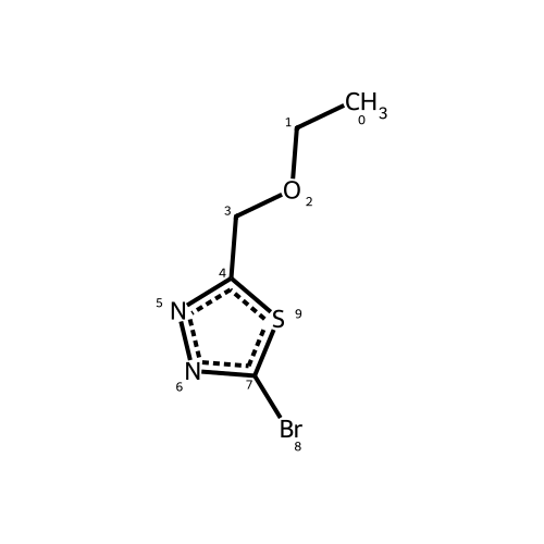 CCOCc1nnc(Br)s1